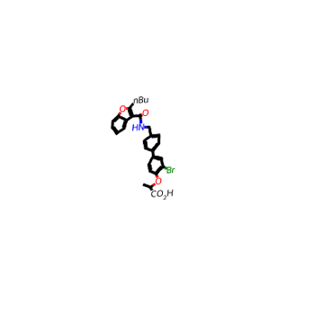 CCCCc1oc2ccccc2c1C(=O)NCc1ccc(-c2ccc(OC(C)C(=O)O)c(Br)c2)cc1